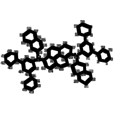 c1ccc(-c2cc(-c3ccccc3)cc(N(c3ccc4ccccc4c3)c3ccc4ccc5c(N(c6cc(-c7ccccc7)cc(-c7ccccc7)c6)c6ccc7ccccc7c6)ccc6ccc3c4c65)c2)cc1